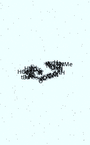 CNC(=O)c1nnc(Nc2ccc(N3CCN(C4CCN(C(=O)CCCCC(=O)N[C@H](C(=O)N5C[C@H](O)C[C@H]5C(=O)N[C@@H](C)c5ccc(-c6scnc6C)cc5)C(C)(C)C)CC4)CC3)cn2)cc1Nc1cccc(-c2ncn(C)n2)c1OC